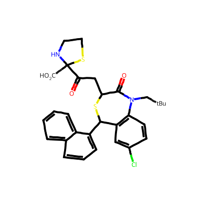 CC(C)(C)CN1C(=O)C(CC(=O)C2(C(=O)O)NCCS2)SC(c2cccc3ccccc23)c2cc(Cl)ccc21